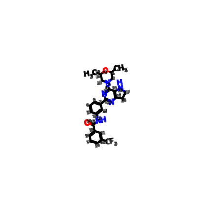 CC1CN(c2nc(-c3cccc(NC(=O)c4cccc(C(F)(F)F)c4)c3)nc3c2NCC3)CC(C)O1